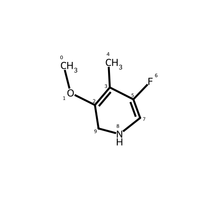 COC1=C(C)C(F)=CNC1